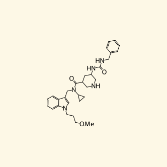 COCCCn1cc(CN(C(=O)C2CNCC(NC(=O)NCc3ccccc3)C2)C2CC2)c2ccccc21